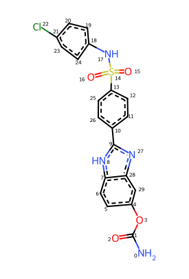 NC(=O)Oc1ccc2[nH]c(-c3ccc(S(=O)(=O)Nc4ccc(Cl)cc4)cc3)nc2c1